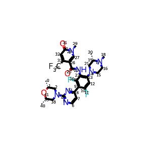 C[C@@H]1CN(c2nccc(-c3c(F)cc(N4CCN(C)[C@@H](C)C4)c(NC(=O)c4cn(C)c(=O)cc4C(F)(F)F)c3F)n2)C[C@H](C)O1